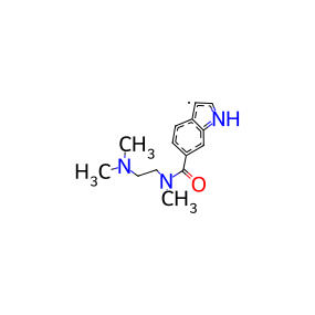 CN(C)CCN(C)C(=O)c1ccc2[c]c[nH]c2c1